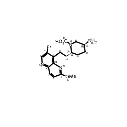 COc1ccc2ncc(F)c(CC[C@H]3CC[C@H](N)CN3C(=O)O)c2n1